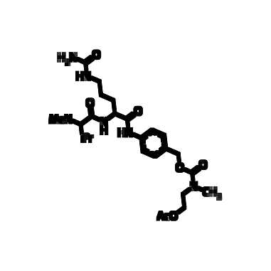 CNC(C(=O)NC(CCCNC(N)=O)C(=O)Nc1ccc(COC(=O)N(C)CCOC(C)=O)cc1)C(C)C